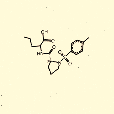 CCCC(NC(=O)[C@H]1CCCN1S(=O)(=O)c1ccc(C)cc1)C(=O)O